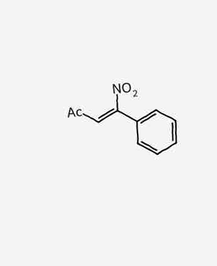 CC(=O)C=C(c1ccccc1)[N+](=O)[O-]